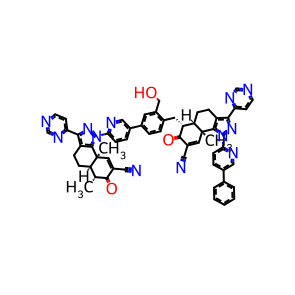 C[C@H]1C(=O)C(C#N)=C[C@@]2(C)c3c(c(-c4ccncn4)nn3-c3ccc(-c4ccc(C[C@H]5C(=O)C(C#N)=C[C@@]6(C)c7c(c(-c8ccncn8)nn7-c7ccc(-c8ccccc8)cn7)CC[C@H]56)c(CO)c4)cn3)CC[C@H]12